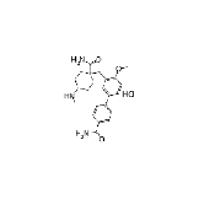 CNC1CCC(Cc2cc(-c3ccc(C(N)=O)cc3)ccc2OC)(C(N)=O)CC1.Cl